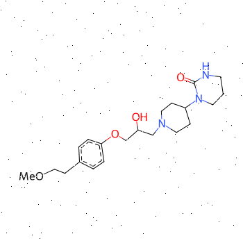 COCCc1ccc(OCC(O)CN2CCC(N3CCCNC3=O)CC2)cc1